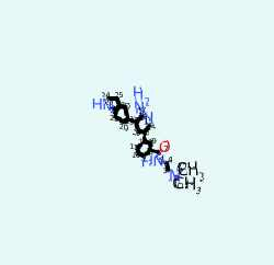 CN(C)CCNC(=O)c1cccc(-c2cnc(N)c(-c3ccc4[nH]ccc4c3)c2)c1